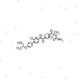 CC(CO)Oc1ccc(-n2ccc(NC(=O)N3CCN(C(=O)C(C)(C)OC(N)=O)CC3)nc2=O)cc1